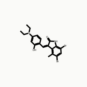 CCN(CC)c1ccc(C=C2C(=O)Nc3c(Br)cc(Br)c(C)c32)c(O)c1